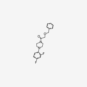 O=C(COCc1ccccc1)N1CCN(c2ccc(F)cc2F)CC1